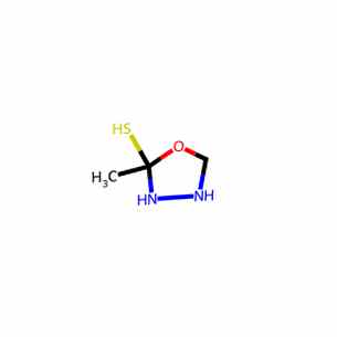 CC1(S)NNCO1